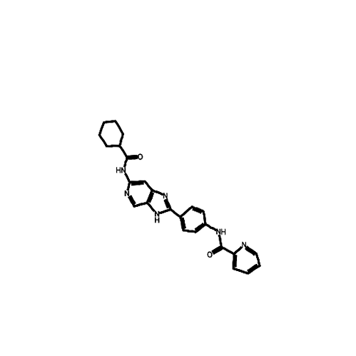 O=C(Nc1ccc(-c2nc3cc(NC(=O)C4CCCCC4)ncc3[nH]2)cc1)c1ccccn1